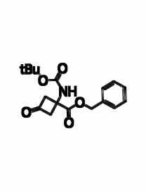 CC(C)(C)OC(=O)NC1(C(=O)OCc2ccccc2)CC(=O)C1